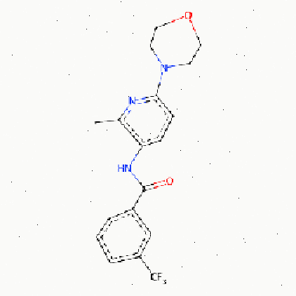 Cc1nc(N2CCOCC2)ccc1NC(=O)c1cccc(C(F)(F)F)c1